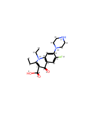 CCc1c(C(=O)O)c(=O)c2cc(F)c(N3CCNCC3)cc2n1CC